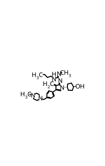 C=C1C(c2ccc(CN3CCN(C)CC3)cc2)=CN([C@H]2CC[C@H](O)CC2)/C1=N/C(=N\C)NCCCC